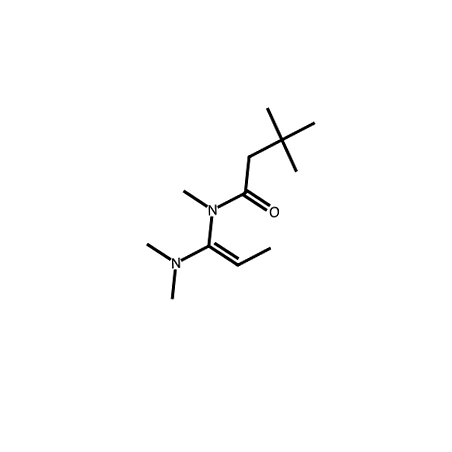 C/C=C(/N(C)C)N(C)C(=O)CC(C)(C)C